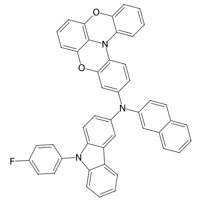 Fc1ccc(-n2c3ccccc3c3cc(N(c4ccc5c(c4)Oc4cccc6c4N5c4ccccc4O6)c4ccc5ccccc5c4)ccc32)cc1